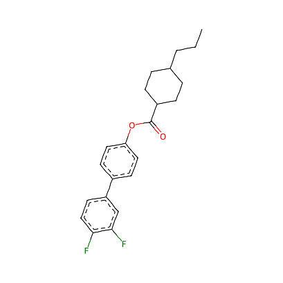 CCCC1CCC(C(=O)Oc2ccc(-c3ccc(F)c(F)c3)cc2)CC1